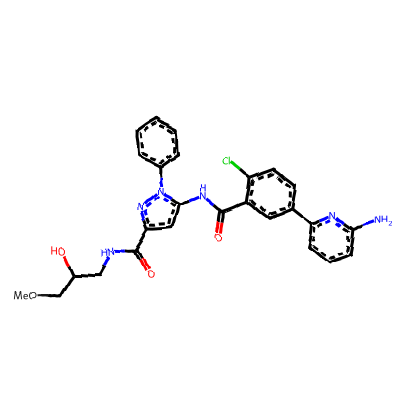 COCC(O)CNC(=O)c1cc(NC(=O)c2cc(-c3cccc(N)n3)ccc2Cl)n(-c2ccccc2)n1